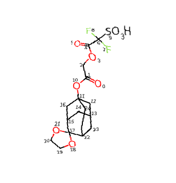 O=C(COC(=O)C(F)(F)S(=O)(=O)O)OC12CC3CC(C1)C1(OCCO1)C(C3)C2